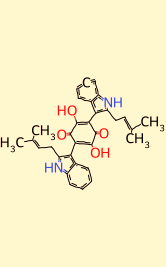 CC(C)=CCc1[nH]c2ccccc2c1C1=C(O)C(=O)C(c2c(CC=C(C)C)[nH]c3ccccc23)=C(O)C1=O